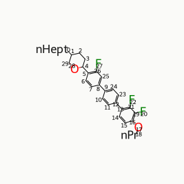 CCCCCCCC1CCC(c2ccc(-c3ccc(-c4ccc(OCCC)c(F)c4F)cc3)cc2F)OC1